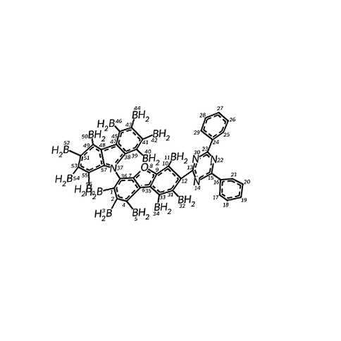 Bc1c(B)c(B)c2c(oc3c(B)c(-c4nc(-c5ccccc5)nc(-c5ccccc5)n4)c(B)c(B)c32)c1-n1c2c(B)c(B)c(B)c(B)c2c2c(B)c(B)c(B)c(B)c21